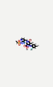 CCS(=O)(=O)Nc1nccc(Cn2cc(C(=O)OC)c(Nc3ccc(C)cc3F)c(C)c2=O)c1F